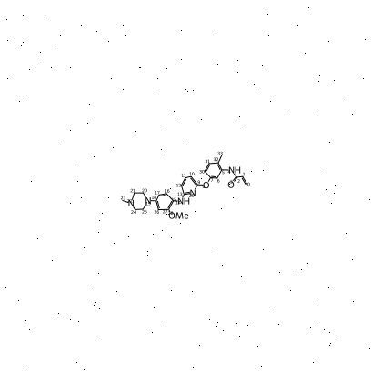 C=CC(=O)Nc1cc(Oc2cccc(Nc3ccc(N4CCN(C)CC4)cc3OC)n2)ccc1C